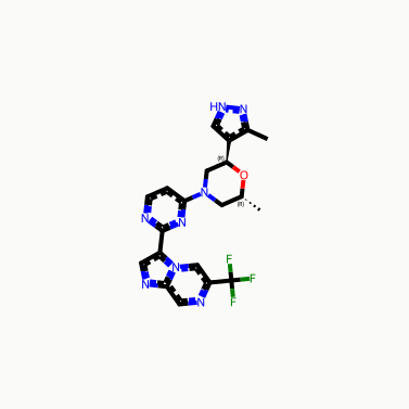 Cc1n[nH]cc1[C@@H]1CN(c2ccnc(-c3cnc4cnc(C(F)(F)F)cn34)n2)C[C@@H](C)O1